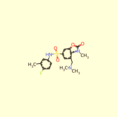 Cc1cc(NS(=O)(=O)c2cc(CN(C)C)c3c(c2)oc(=O)n3C)ccc1F